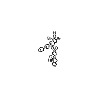 O=C(O[C@H](Cc1cc(Br)c(O)c(Br)c1)C(=O)N1CCN(C2CCOCC2)CC1)N1CCC(N2CCc3ccccc3NC2=O)CC1